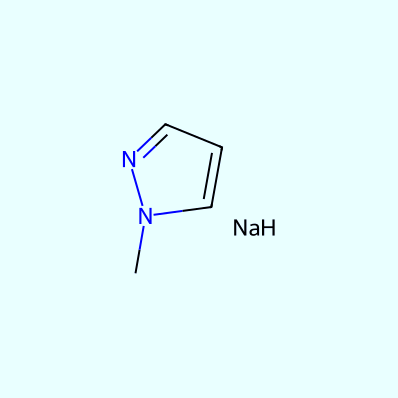 Cn1cccn1.[NaH]